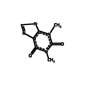 Cn1c2c(c(=O)n(C)c1=O)N=C[N]2